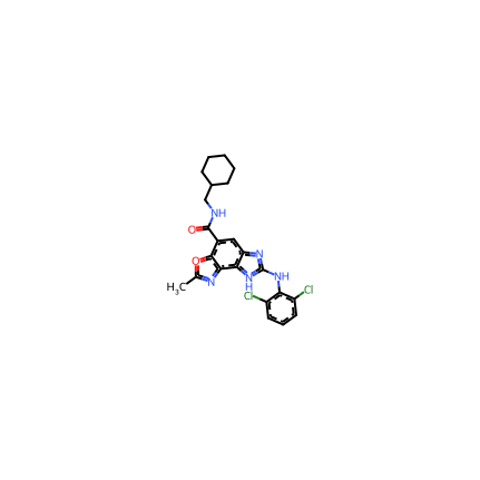 Cc1nc2c(o1)c(C(=O)NCC1CCCCC1)cc1nc(Nc3c(Cl)cccc3Cl)[nH]c12